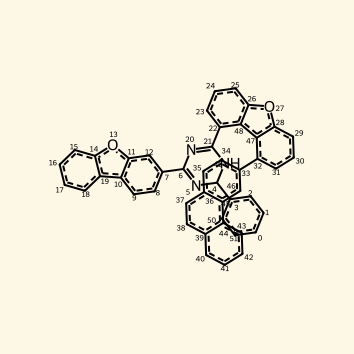 c1ccc(C2N=C(c3ccc4c(c3)oc3ccccc34)N=C(c3cccc4oc5cccc(-c6ccc7ccc8ccccc8c7c6)c5c34)N2)cc1